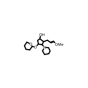 COC=CCC1C(O)CC(OC2CCCCO2)C1N1CCCCC1